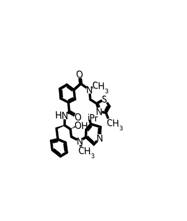 Cc1csc(CN(C)C(=O)c2cccc(C(=O)N[C@H](Cc3ccccc3)[C@H](O)CN(C)c3cncc(C(C)C)c3)c2)n1